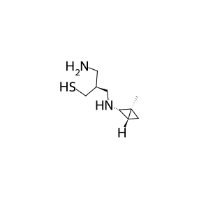 C[C@]12C[C@@H]1[C@@H]2NC[C@H](CN)CS